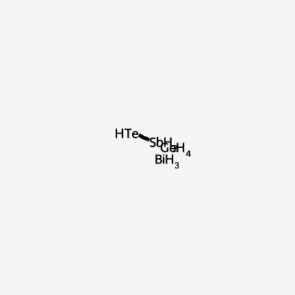 [BiH3].[GeH4].[SbH2][TeH]